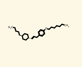 CCCCCCCOc1ccc([CH]/C=C/[C@H]2CC[C@H](CCCCC)CC2)cc1